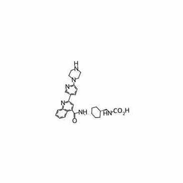 O=C(O)NC[C@H]1CC[C@H](CNC(=O)c2cc(-c3ccc(N4CCNCC4)nc3)nc3ccccc23)CC1